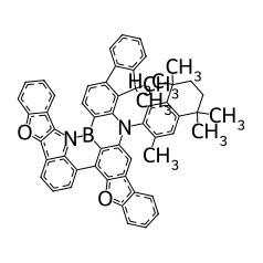 Cc1cc2c(cc1N1c3cc4c(oc5ccccc54)c4c3B(c3ccc5c(c31)C(C)(C)c1ccccc1-5)n1c3c-4cccc3c3oc4ccccc4c31)C(C)(C)CCC2(C)C